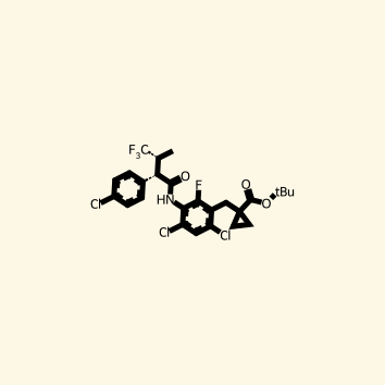 C[C@H]([C@H](C(=O)Nc1c(Cl)cc(Cl)c(CC2(C(=O)OC(C)(C)C)CC2)c1F)c1ccc(Cl)cc1)C(F)(F)F